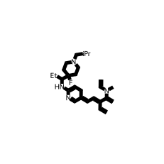 C=C/C(=C\C=C1\C=NC(NC(CC)C2(F)CCN(CC(C)C)CC2)=CC1)C(=C)N(C)C=C